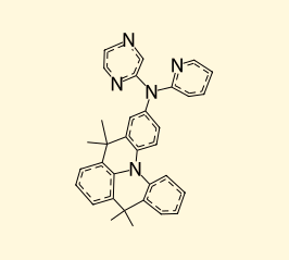 CC1(C)c2ccccc2N2c3ccc(N(c4ccccn4)c4cnccn4)cc3C(C)(C)c3cccc1c32